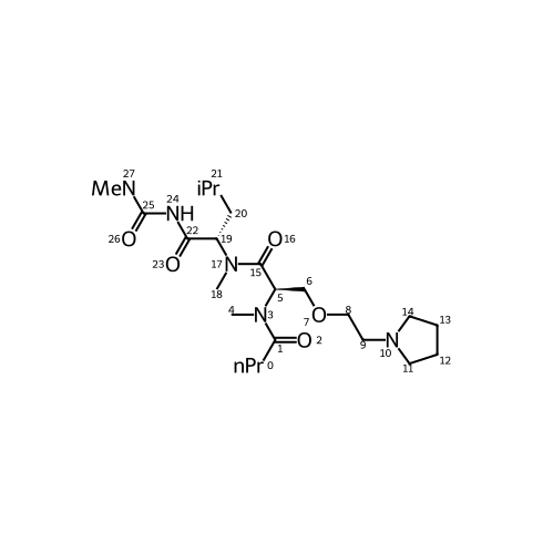 CCCC(=O)N(C)[C@H](COCCN1CCCC1)C(=O)N(C)[C@@H](CC(C)C)C(=O)NC(=O)NC